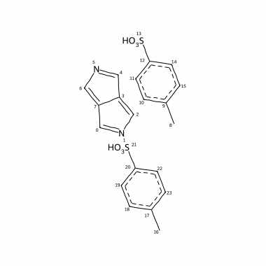 C1=NC=C2C=NC=C12.Cc1ccc(S(=O)(=O)O)cc1.Cc1ccc(S(=O)(=O)O)cc1